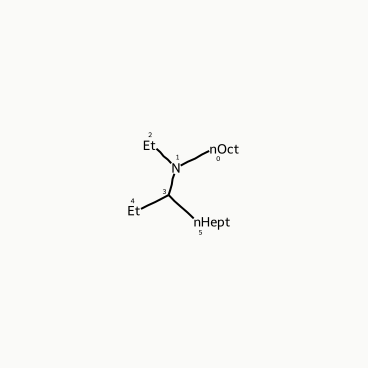 CCCCCCCCN(CC)C(CC)CCCCCCC